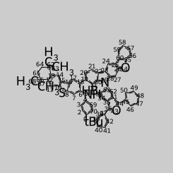 CC(C)(C)c1ccc(Nc2cc3sc4cc5c(cc4c3cc2-c2ccc3c4cc6c(cc4n4c3c2Bc2cc3c(-c7ccccc7)oc(-c7ccccc7)c3cc2-4)oc2ccccc26)C(C)(C)CCC5(C)C)cc1